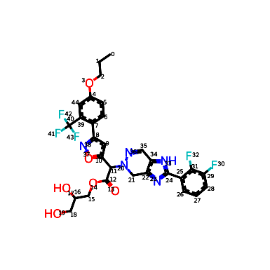 CCCOc1ccc(-c2cc(C(C(=O)OCC(O)CO)N3Cc4nc(-c5cccc(F)c5F)[nH]c4C=N3)on2)c(C(F)(F)F)c1